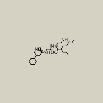 CCCCCC(CCC)C(=O)[C@H](CCN)NC(=O)CNC(=O)CC(CN)C1CCCCC1